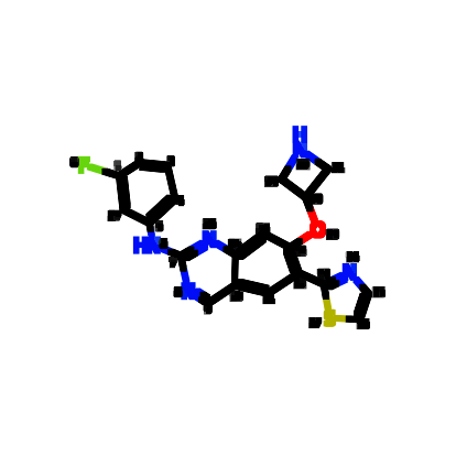 Fc1cccc(Nc2ncc3cc(-c4nccs4)c(OC4CNC4)cc3n2)c1